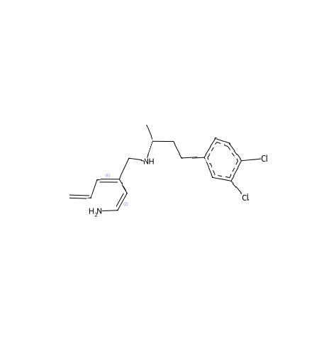 C=C/C=C(\C=C/N)CNC(C)CCc1ccc(Cl)c(Cl)c1